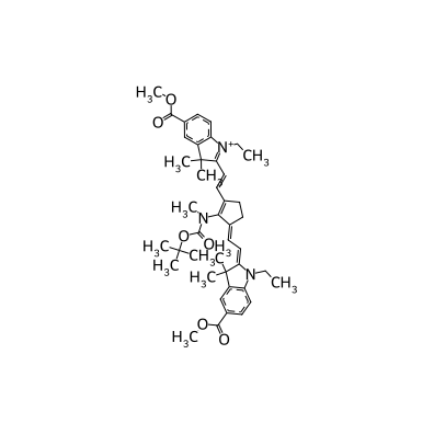 CCN1/C(=C/C=C2\CCC(/C=C/C3=[N+](CC)c4ccc(C(=O)OC)cc4C3(C)C)=C2N(C)C(=O)OC(C)(C)C)C(C)(C)c2cc(C(=O)OC)ccc21